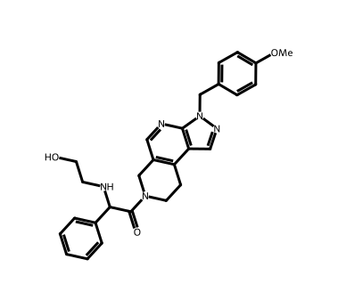 COc1ccc(Cn2ncc3c4c(cnc32)CN(C(=O)C(NCCO)c2ccccc2)CC4)cc1